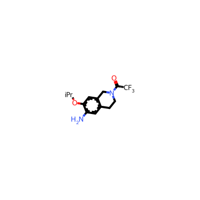 CC(C)Oc1cc2c(cc1N)CCN(C(=O)C(F)(F)F)C2